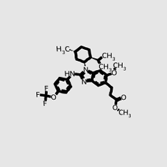 COC(=O)CCc1cc2nc(Nc3ccc(OC(F)(F)F)cc3)n([C@@H]3C[C@H](C)CC[C@H]3C(C)C)c2cc1OC